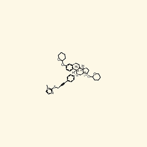 Cn1ccnc1SCC#Cc1ccc([C@H]2C[C@]3(C)[C@@H](OC4CCCCO4)CC[C@H]3[C@@H]3CCc4cc(OC5CCCCO5)ccc4[C@H]32)cc1